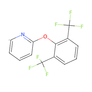 FC(F)(F)c1cccc(C(F)(F)F)c1Oc1ccc[c]n1